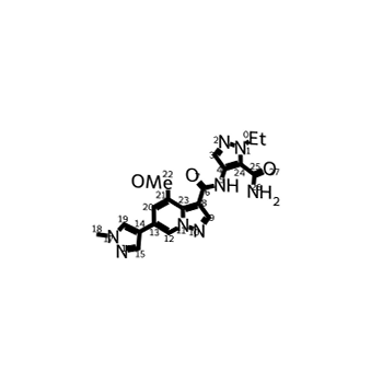 CCn1ncc(NC(=O)c2cnn3cc(-c4cnn(C)c4)cc(OC)c23)c1C(N)=O